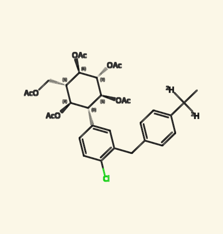 [2H]C([2H])(C)c1ccc(Cc2cc([C@H]3[C@H](OC(C)=O)[C@@H](OC(C)=O)[C@H](OC(C)=O)[C@@H](COC(C)=O)[C@@H]3OC(C)=O)ccc2Cl)cc1